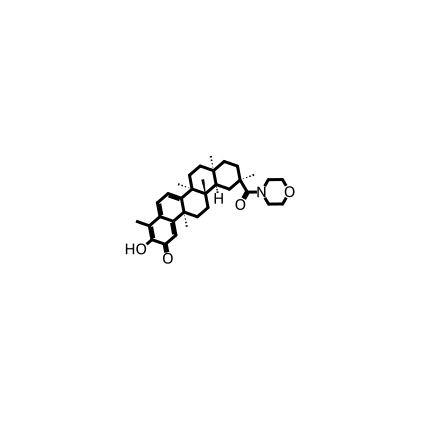 CC1=C(O)C(=O)C=C2C1=CC=C1[C@@]2(C)CC[C@@]2(C)[C@@H]3C[C@](C)(C(=O)N4CCOCC4)CC[C@]3(C)CC[C@]12C